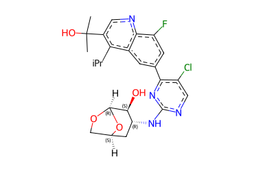 CC(C)c1c(C(C)(C)O)cnc2c(F)cc(-c3nc(N[C@@H]4C[C@H]5CO[C@H](O5)[C@H]4O)ncc3Cl)cc12